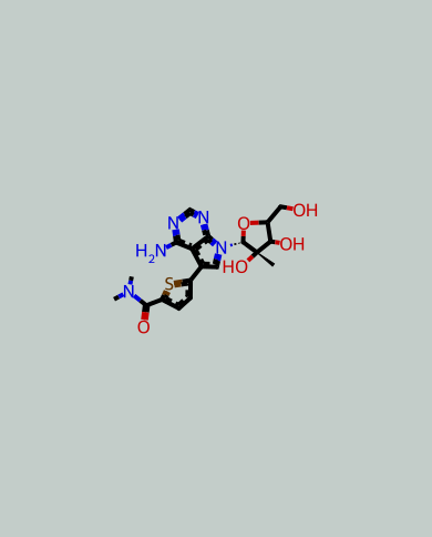 CN(C)C(=O)c1ccc(-c2cn([C@@H]3OC(CO)C(O)[C@]3(C)O)c3ncnc(N)c23)s1